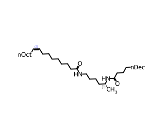 CCCCCCCC/C=C\CCCCCCCC(=O)NCCCC[C@@H](C)NC(=O)CCCCCCCCCCCCC